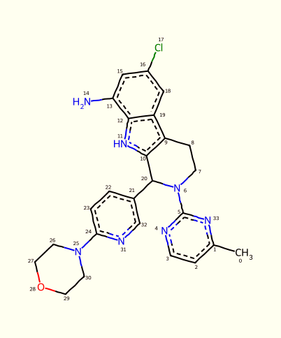 Cc1ccnc(N2CCc3c([nH]c4c(N)cc(Cl)cc34)C2c2ccc(N3CCOCC3)nc2)n1